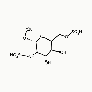 CC(C)(C)O[C@@H]1OC(COS(=O)(=O)O)[C@@H](O)[C@H](O)C1NS(=O)(=O)O